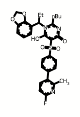 CCCCc1nc(=O)c(S(=O)(=O)c2ccc(-c3ccc(F)nc3C)cc2)c(O)n1C(CC)c1cccc2c1OCO2